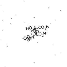 Cc1ccc(S(=O)(=O)NCCCCC(NC(=O)NC(CCC(=O)O)C(=O)O)C(=O)O)cc1